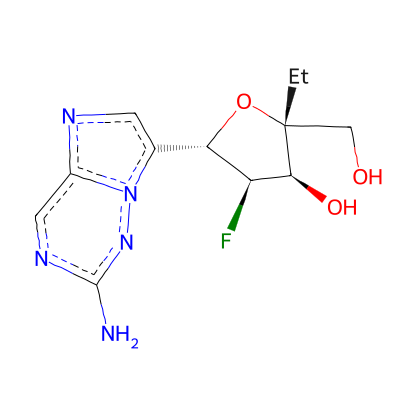 CC[C@]1(CO)O[C@@H](c2cnc3cnc(N)nn23)[C@H](F)[C@@H]1O